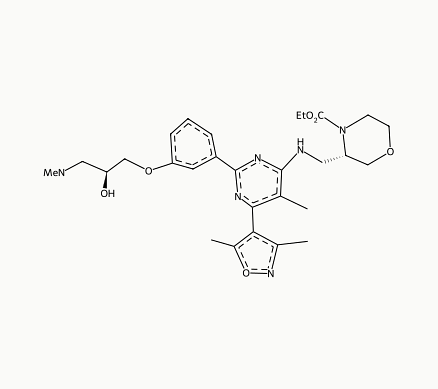 CCOC(=O)N1CCOC[C@@H]1CNc1nc(-c2cccc(OC[C@@H](O)CNC)c2)nc(-c2c(C)noc2C)c1C